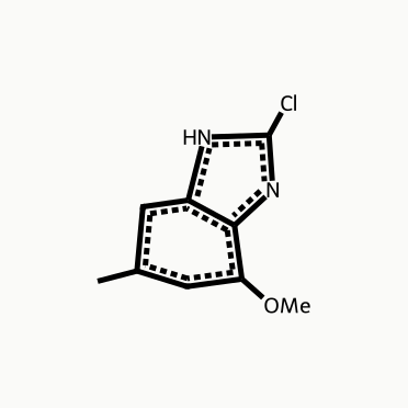 COc1cc(C)cc2[nH]c(Cl)nc12